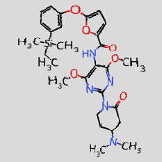 CC[Si](C)(C)c1cccc(Oc2ccc(C(=O)Nc3c(OC)nc(N4CCC(N(C)C)CC4=O)nc3OC)o2)c1